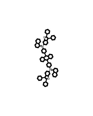 c1ccc(-c2sc3cc(N(c4ccc(-c5c6ccccc6c(-c6ccc(N(c7ccc8c(-c9ccccc9)c(-c9ccccc9)sc8c7)c7cccc8ccccc78)cc6)c6ccccc56)cc4)c4cccc5ccccc45)ccc3c2-c2ccccc2)cc1